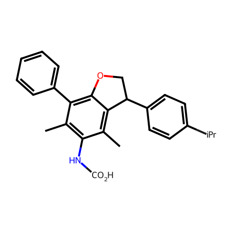 Cc1c(NC(=O)O)c(C)c2c(c1-c1ccccc1)OCC2c1ccc(C(C)C)cc1